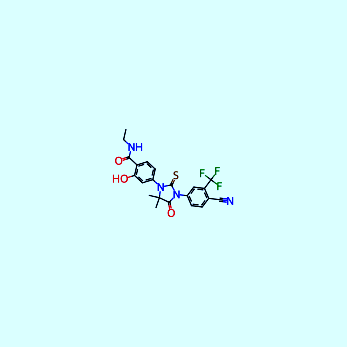 CCNC(=O)c1ccc(N2C(=S)N(c3ccc(C#N)c(C(F)(F)F)c3)C(=O)C2(C)C)cc1O